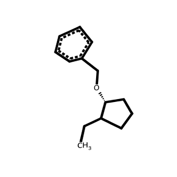 CCC1CCC[C@H]1OCc1ccccc1